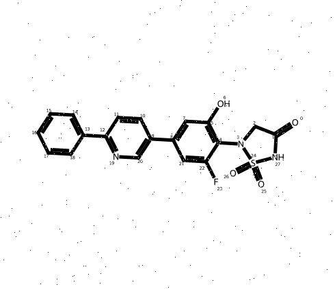 O=C1CN(c2c(O)cc(-c3ccc(-c4ccccc4)nc3)cc2F)S(=O)(=O)N1